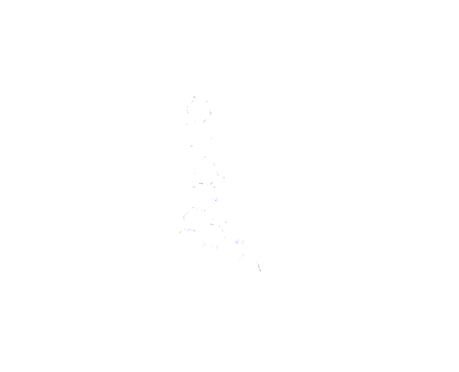 O=C(/C=C/Cl)Nc1ccc2ncnc(Nc3ccc(OCc4ccccc4)cc3)c2c1